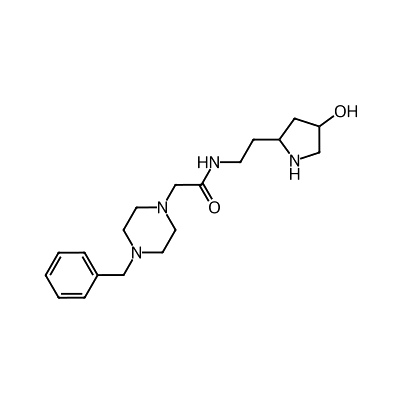 O=C(CN1CCN(Cc2ccccc2)CC1)NCCC1CC(O)CN1